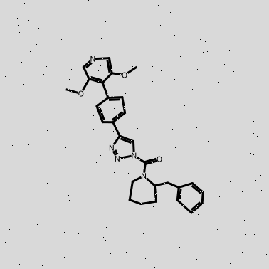 COc1cncc(OC)c1-c1ccc(-c2cn(C(=O)N3CCCCC3Cc3ccccc3)nn2)cc1